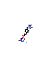 C/C(N)=C/C(=O)OC/C=C/c1ccc(Cn2ccnc2)cc1